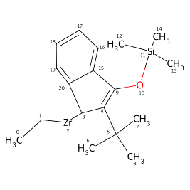 C[CH2][Zr][CH]1C(C(C)(C)C)=C(O[Si](C)(C)C)c2ccccc21